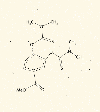 COC(=O)c1ccc(OC(=S)N(C)C)c(OC(=S)N(C)C)c1